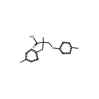 Cc1ccc(SCC(C)(Cc2ccc(F)cc2)C(=O)O)cc1